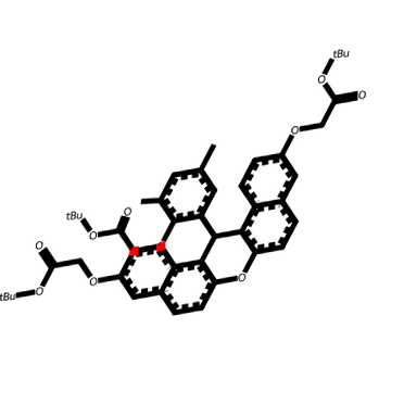 Cc1cc(C)c(OCC(=O)OC(C)(C)C)c(C2c3c(ccc4cc(OCC(=O)OC(C)(C)C)ccc34)Oc3ccc4cc(OCC(=O)OC(C)(C)C)ccc4c32)c1